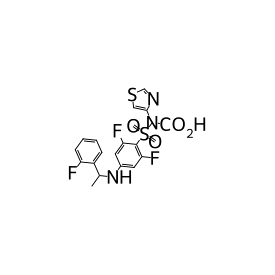 CC(Nc1cc(F)c(S(=O)(=O)N(C(=O)O)c2cscn2)c(F)c1)c1ccccc1F